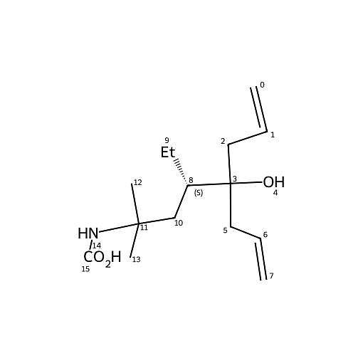 C=CCC(O)(CC=C)[C@@H](CC)CC(C)(C)NC(=O)O